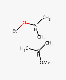 CCO[SiH](C)C.CO[SiH](C)C